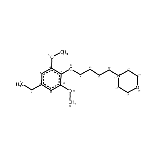 CCc1cc(OC)c(OCCCCN2CCOCC2)c(OC)c1